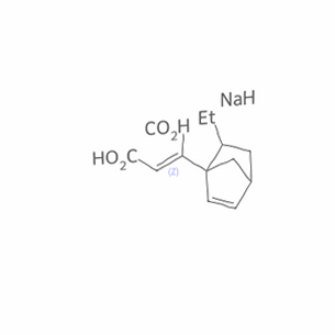 CCC1CC2C=CC1(/C(=C/C(=O)O)C(=O)O)C2.[NaH]